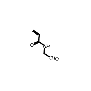 C=CC(=O)NCC=O